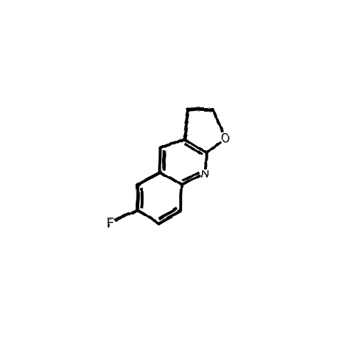 Fc1ccc2nc3c(cc2c1)CCO3